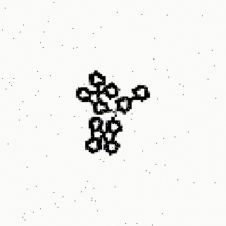 c1ccc(-c2ccc(N(c3ccc4c(c3)C(c3ccccc3)(c3ccccc3)c3ccccc3-4)c3ccc4c(c3)C3(c5ccccc5-c5ccccc53)c3ccccc3-4)cc2)cc1